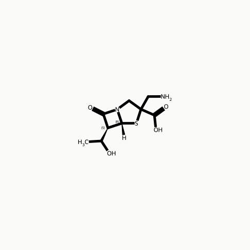 CC(O)[C@H]1C(=O)N2CC(CN)(C(=O)O)S[C@H]12